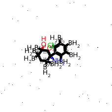 Bc1c(B)c(B)c(C2(N)C(=O)C(B)(O)C(B)(B)CC2(B)B)c(Cl)c1B